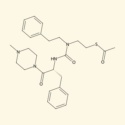 CC(=O)SCCN(CCc1ccccc1)C(=O)N[C@H](Cc1ccccc1)C(=O)N1CCN(C)CC1